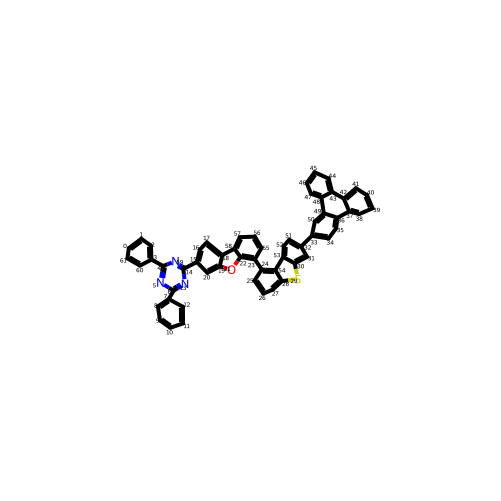 c1ccc(-c2nc(-c3ccccc3)nc(-c3ccc4c(c3)oc3c(-c5cccc6sc7cc(-c8ccc9c%10ccccc%10c%10ccccc%10c9c8)ccc7c56)cccc34)n2)cc1